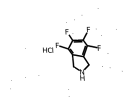 Cl.Fc1c(F)c(F)c2c(c1F)CNC2